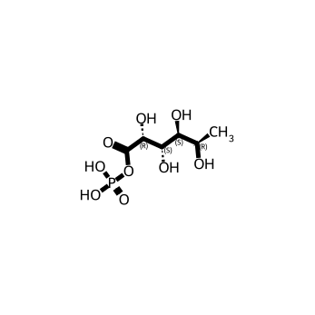 C[C@@H](O)[C@H](O)[C@H](O)[C@@H](O)C(=O)OP(=O)(O)O